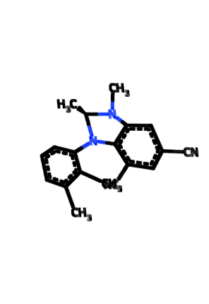 Cc1cccc(N2c3c(C#N)cc(C#N)cc3N(C)[C@@H]2C)c1C